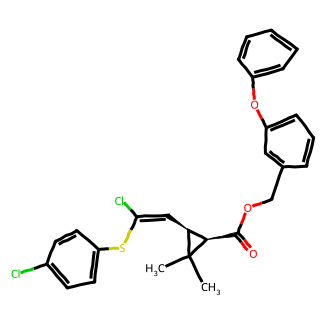 CC1(C)[C@H](C(=O)OCc2cccc(Oc3ccccc3)c2)[C@@H]1/C=C(/Cl)Sc1ccc(Cl)cc1